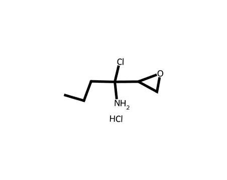 CCCC(N)(Cl)C1CO1.Cl